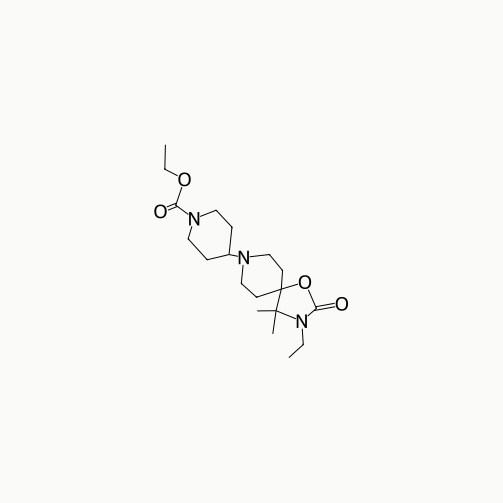 CCOC(=O)N1CCC(N2CCC3(CC2)OC(=O)N(CC)C3(C)C)CC1